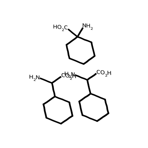 NC(C(=O)O)C1CCCCC1.NC(C(=O)O)C1CCCCC1.NC1(C(=O)O)CCCCC1